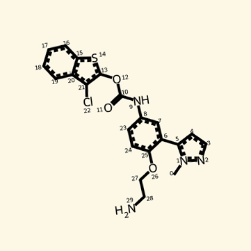 Cn1nccc1-c1cc(NC(=O)Oc2sc3ccccc3c2Cl)ccc1OCCN